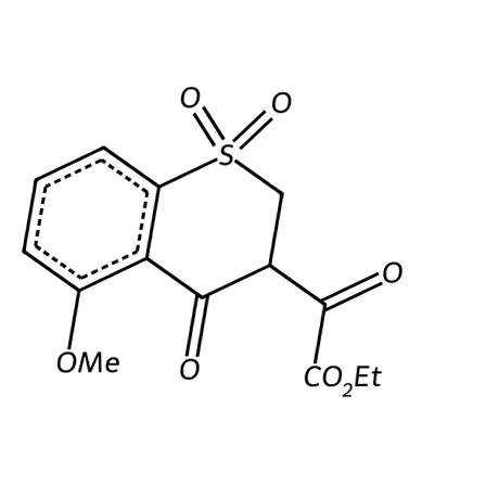 CCOC(=O)C(=O)C1CS(=O)(=O)c2cccc(OC)c2C1=O